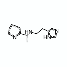 CC(NCCc1cnc[nH]1)c1ccccn1